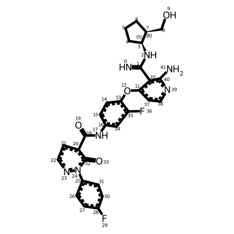 N=C(N[C@H]1CCC[C@H]1CO)c1c(Oc2ccc(NC(=O)c3ccnn(-c4ccc(F)cc4)c3=O)cc2F)ccnc1N